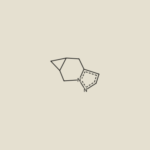 c1cc2n(n1)CC1CC1C2